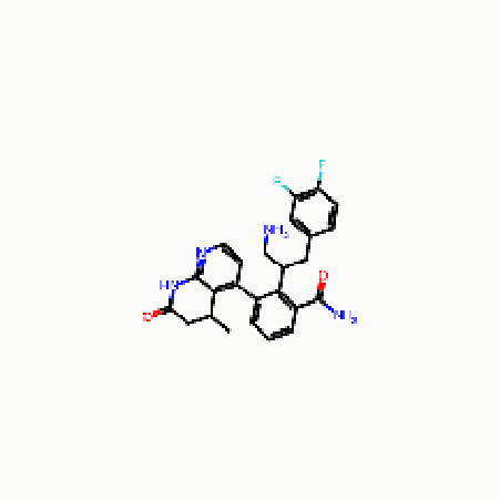 CC1CC(=O)Nc2nccc(-c3cccc(C(N)=O)c3C(CN)Cc3ccc(F)c(F)c3)c21